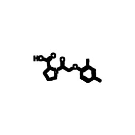 Cc1ccc(OCC(=O)N2CCCC2C(=O)O)c(C)c1